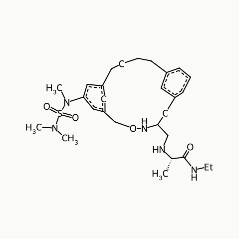 CCNC(=O)[C@H](C)NCC1Cc2cccc(c2)CCCCc2cc(cc(N(C)S(=O)(=O)N(C)C)c2)CON1